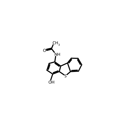 CC(=O)Nc1ccc(O)c2sc3ccccc3c12